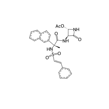 CC(=O)O[C@@H]1NC(=O)[C@H]1NC(=O)[C@](C)(NS(=O)(=O)C=Cc1ccccc1)c1ccc2ccccc2c1